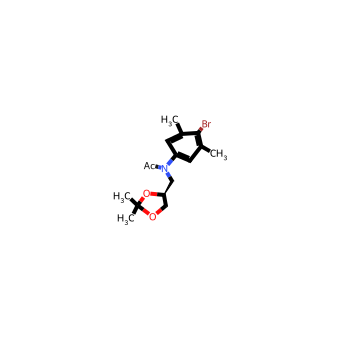 CC(=O)N(C[C@H]1COC(C)(C)O1)c1cc(C)c(Br)c(C)c1